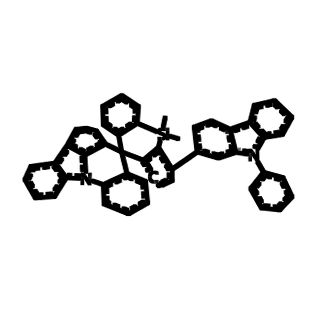 C[Si]1(C)c2ccccc2C2(c3ccccc3-n3c4ccccc4c4cccc2c43)c2cccc(-c3ccc4c5ccccc5n(-c5ccccc5)c4c3)c21